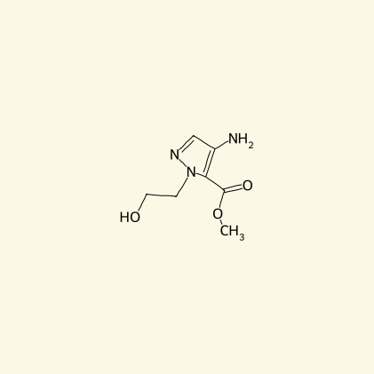 COC(=O)c1c(N)cnn1CCO